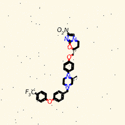 C[C@H]1CN(Cc2ccc(Oc3ccc(C(F)(F)F)cc3)cc2)CCN1c1ccc(OC[C@H]2CCn3cc([N+](=O)[O-])nc3O2)cc1